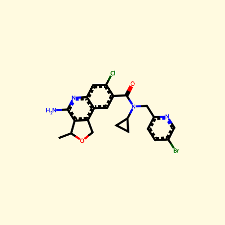 CC1OCc2c1c(N)nc1cc(Cl)c(C(=O)N(Cc3ccc(Br)cn3)C3CC3)cc21